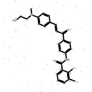 CN(CCO)c1ccc(/C=C/C(=O)c2ccc(NC(=O)c3cccc(F)c3F)cc2)cc1